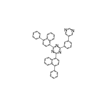 c1ccc(-c2ccc(-c3nc(-c4cccc(-c5cncnc5)c4)nc(-c4ccc(-c5ccccc5)c5ccccc45)n3)c3ccccc23)cc1